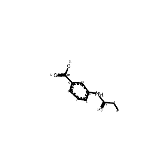 CCC(=O)Nc1cccc(C([O])=O)c1